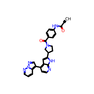 C#CC(=O)Nc1ccc(C(=O)N2CCC(c3cc4c(-c5cnn6ncccc56)ccnc4[nH]3)C2)cc1